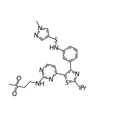 CC(C)c1nc(-c2cccc(NSc3cnn(C)c3)c2)c(-c2ccnc(NCCS(C)(=O)=O)n2)s1